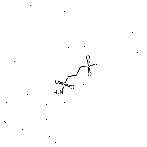 CS(=O)(=O)CCCS(N)(=O)=O